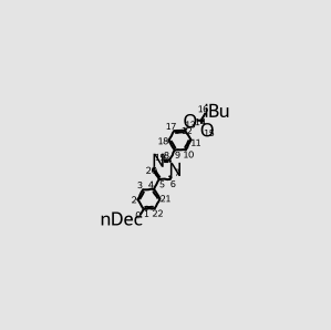 CCCCCCCCCCc1ccc(-c2cnc(-c3ccc(OC(=O)C(C)CC)cc3)nc2)cc1